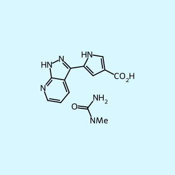 CNC(N)=O.O=C(O)c1c[nH]c(-c2n[nH]c3ncccc23)c1